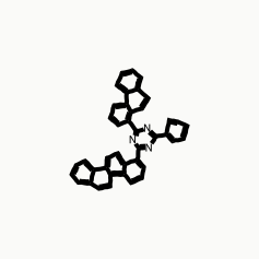 c1ccc(-c2nc(-c3cccc4c3ccc3ccccc34)nc(-c3cccc4c3ccc3c5ccccc5ccc43)n2)cc1